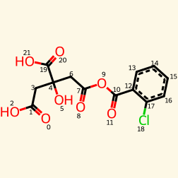 O=C(O)CC(O)(CC(=O)OC(=O)c1ccccc1Cl)C(=O)O